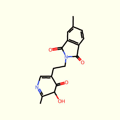 CC1=NC=C(CCN2C(=O)c3ccc(C)cc3C2=O)C(=O)C1O